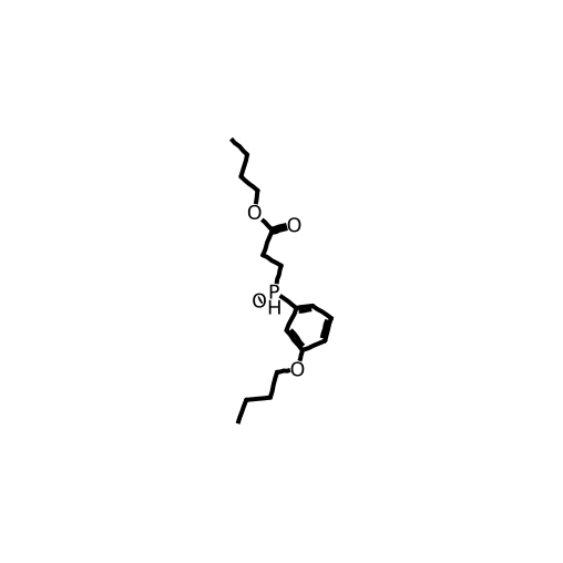 CCCCOC(=O)CC[PH](=O)c1cccc(OCCCC)c1